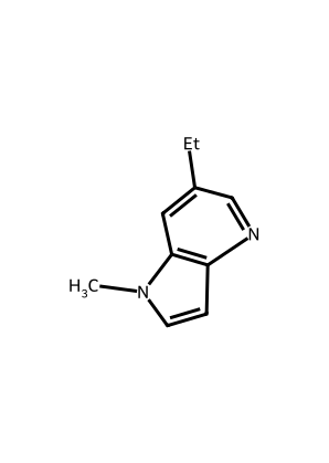 CCc1cnc2ccn(C)c2c1